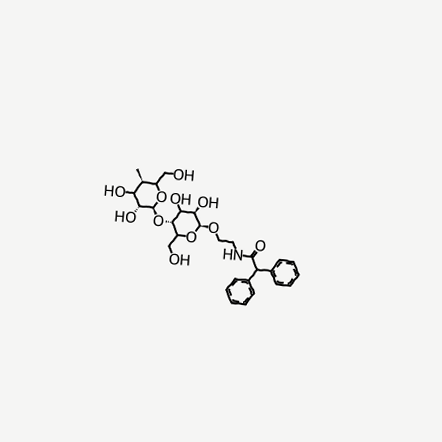 C[C@H]1C(CO)O[C@@H](O[C@H]2C(CO)O[C@H](OCCNC(=O)C(c3ccccc3)c3ccccc3)[C@H](O)C2O)[C@H](O)C1O